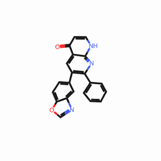 O=c1cc[nH]c2nc(-c3ccccc3)c(-c3ccc4ocnc4c3)cc12